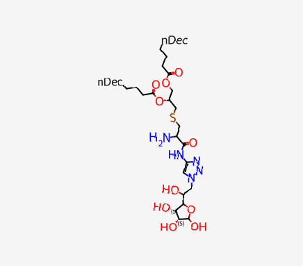 CCCCCCCCCCCCCC(=O)OCC(CSCC(N)C(=O)Nc1cn(CC(O)C2OC(O)[C@@H](O)[C@@H]2O)nn1)OC(=O)CCCCCCCCCCCCC